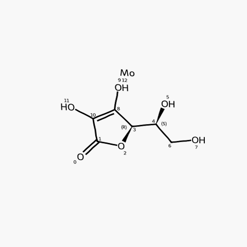 O=C1O[C@H]([C@@H](O)CO)C(O)=C1O.[Mo]